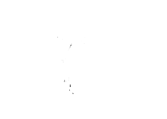 C#CCOC(=O)[C@@H]1C=C[C@H](N)C1